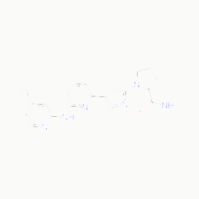 NC(=O)C1CCCN1c1ncc(-c2cccc(Nc3cc(Cl)ccn3)n2)s1